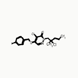 CCCC(C)(Cl)Cn1ncc(OCc2ccc(I)cc2)c(Cl)c1=O